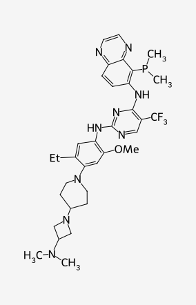 CCc1cc(Nc2ncc(C(F)(F)F)c(Nc3ccc4nccnc4c3P(C)C)n2)c(OC)cc1N1CCC(N2CC(N(C)C)C2)CC1